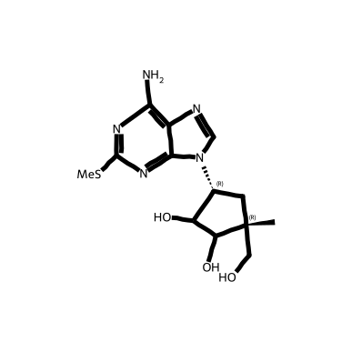 CSc1nc(N)c2ncn([C@@H]3C[C@](C)(CO)C(O)C3O)c2n1